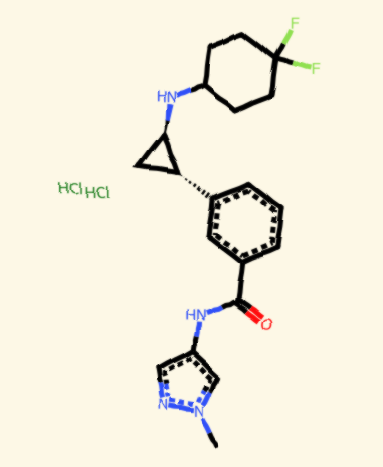 Cl.Cl.Cn1cc(NC(=O)c2cccc([C@@H]3C[C@H]3NC3CCC(F)(F)CC3)c2)cn1